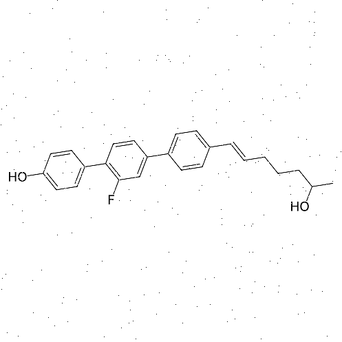 CC(O)CCCC=Cc1ccc(-c2ccc(-c3ccc(O)cc3)c(F)c2)cc1